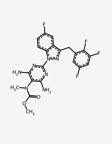 COC(=O)N(C)c1c(N)nc(-n2nc(Cc3cc(F)cc(F)c3F)c3cc(F)ccc32)nc1N